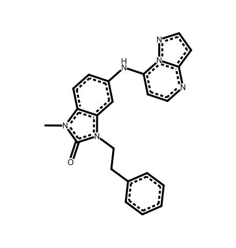 Cn1c(=O)n(CCc2ccccc2)c2cc(Nc3ccnc4ccnn34)ccc21